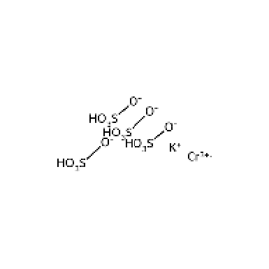 O=S(=O)([O-])O.O=S(=O)([O-])O.O=S(=O)([O-])O.O=S(=O)([O-])O.[Cr+3].[K+]